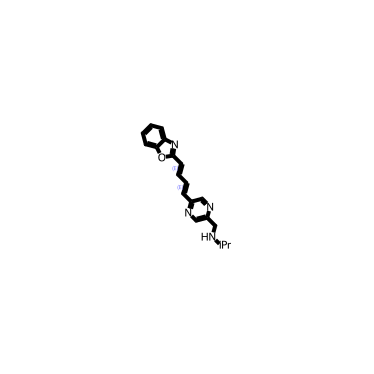 CC(C)NCc1cnc(/C=C/C=C/c2nc3ccccc3o2)cn1